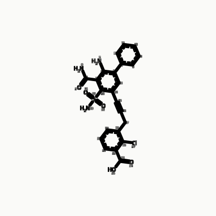 NC(=O)c1c(N)c(-c2ccccc2)cc(C#CCc2cccc(C(=O)O)c2Cl)c1S(N)(=O)=O